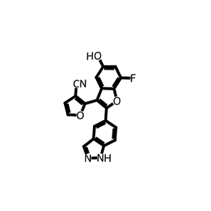 N#Cc1ccoc1-c1c(-c2ccc3[nH]ncc3c2)oc2c(F)cc(O)cc12